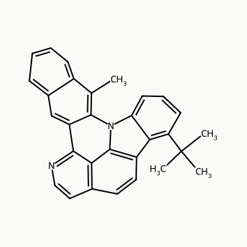 Cc1c2ccccc2cc2c3nccc4ccc5c6c(C(C)(C)C)cccc6n(c12)c5c43